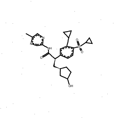 Cc1cnc(NC(=O)[C@H](C[C@H]2CCC(O)C2)c2ccc(S(=O)(=O)C3CC3)c(C3CC3)c2)cn1